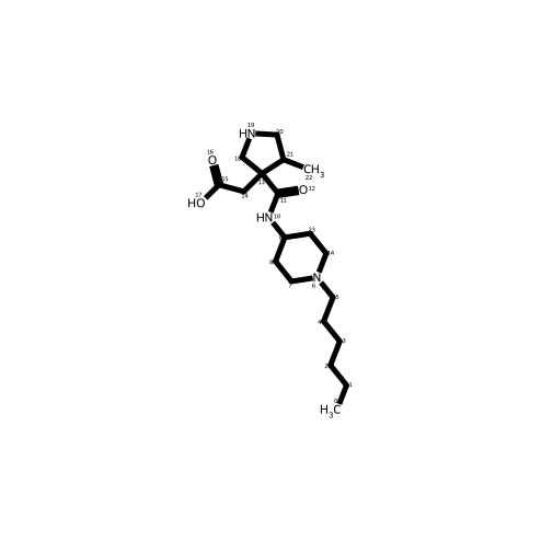 CCCCCCN1CCC(NC(=O)C2(CC(=O)O)CNCC2C)CC1